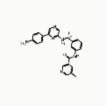 Cc1cncc(C(=O)Nc2cccc([C@H](C)Nc3cncc(-c4ccc(N)cc4)n3)c2)c1